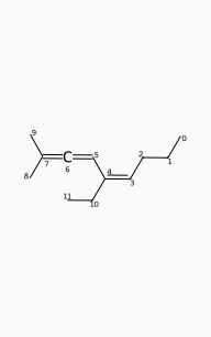 CCCC=C(C=C=C(C)C)CC